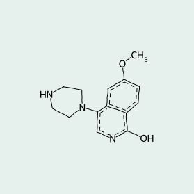 COc1ccc2c(O)ncc(N3CCNCC3)c2c1